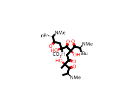 CCC[C@H](NC)C(=O)CC(O)(C(=O)O)C(=O)C(O)(CC(=O)C(C)(O)C(=O)[C@H](C)NC)C(=O)[C@@H](NC)C(C)CC